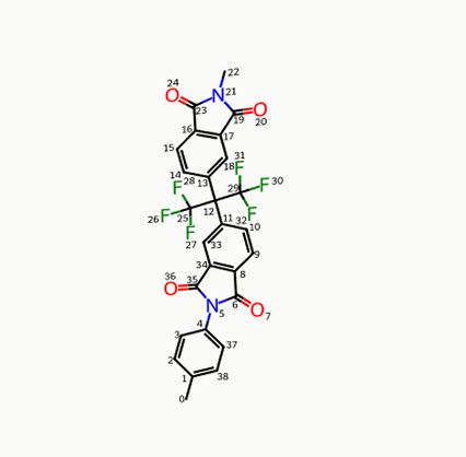 Cc1ccc(N2C(=O)c3ccc(C(c4ccc5c(c4)C(=O)N(C)C5=O)(C(F)(F)F)C(F)(F)F)cc3C2=O)cc1